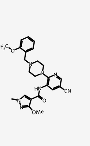 COc1nn(C)cc1C(=O)Nc1cc(C#N)cnc1N1CCN(Cc2ccccc2OC(F)(F)F)CC1